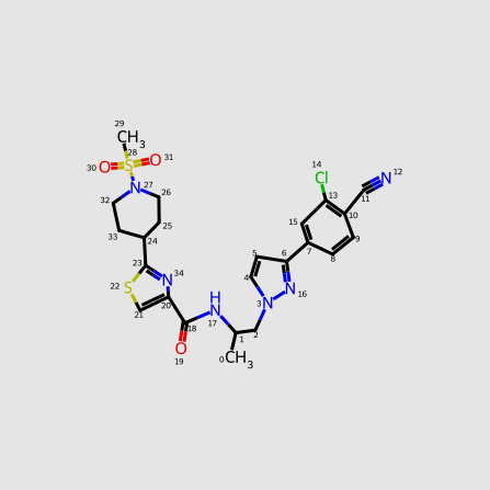 CC(Cn1ccc(-c2ccc(C#N)c(Cl)c2)n1)NC(=O)c1csc(C2CCN(S(C)(=O)=O)CC2)n1